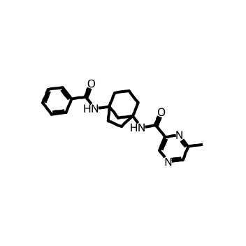 Cc1cncc(C(=O)NC23CCCC(NC(=O)c4ccccc4)(CC2)C3)n1